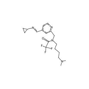 CN(C)CCCCN(Cc1cc(C=NC2CC2)ccn1)C(=O)C(F)(F)F